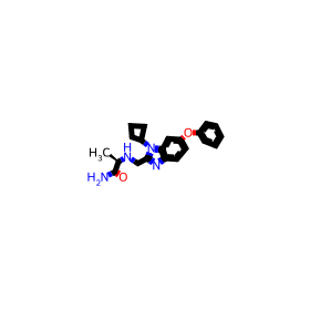 C[C@@H](NCc1nc2ccc(Oc3ccccc3)cc2n1C1CCC1)C(N)=O